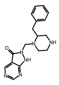 O=c1c2cncnc2[nH]n1CN1CCNCC1Cc1ccccc1